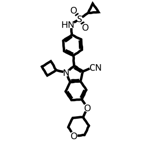 N#Cc1c(-c2ccc(NS(=O)(=O)C3CC3)cc2)n(C2CCC2)c2ccc(OC3CCOCC3)cc12